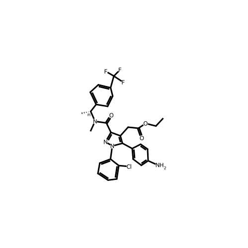 CCOC(=O)Cc1c(C(=O)N(C)[C@H](C)c2ccc(C(F)(F)F)cc2)nn(-c2ccccc2Cl)c1-c1ccc(N)cc1